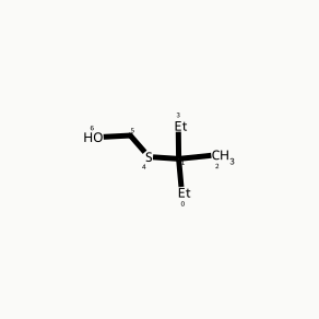 CCC(C)(CC)SCO